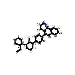 C=Cc1ccccc1-c1cccc(-c2ccc(-c3cc4ccccc4c4ncccc34)cc2)c1C